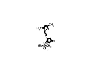 Cc1cc(C)n(CCS[C@H]2CC(=O)C[C@@H]2O[Si](C)(C)C(C)(C)C)n1